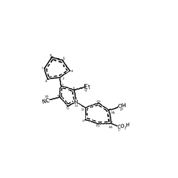 CCc1c(-c2ccccc2)c(C#N)cn1-c1ccc(C(=O)O)c(O)c1